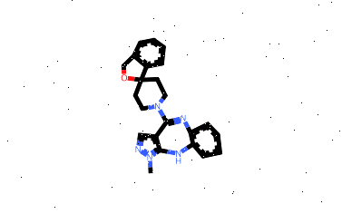 Cn1ncc2c1Nc1ccccc1N=C2N1CCC2(CC1)OCc1ccccc12